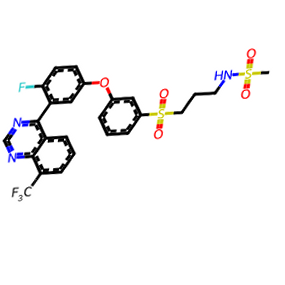 CS(=O)(=O)NCCCS(=O)(=O)c1cccc(Oc2ccc(F)c(-c3ncnc4c(C(F)(F)F)cccc34)c2)c1